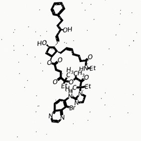 CCNC(=O)CCC/C=C\C[C@@H]1[C@@H](/C=C/[C@H](O)CCc2ccccc2)[C@H](O)C[C@@H]1OC(=O)CCC(=O)C(C)(CC)OC(C)C(=O)C(C)(CC)N1CCN=C1Nc1ccc2nccnc2c1Br